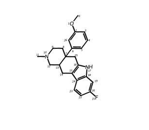 COc1cccc(C23CCN(C)CC2Cc2c([nH]c4cc(F)ccc24)C3)c1